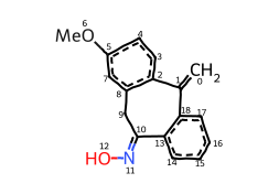 C=C1c2ccc(OC)cc2CC(=NO)c2ccccc21